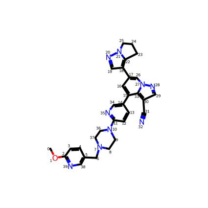 COc1ccc(CN2CCN(c3ccc(-c4cc(-c5cnn6c5CCC6)cn5ncc(C#N)c45)cn3)CC2)cn1